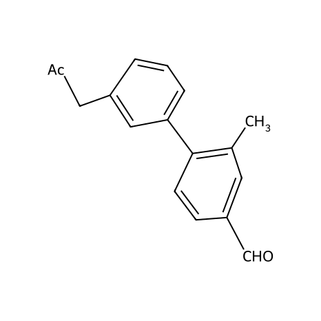 CC(=O)Cc1cccc(-c2ccc(C=O)cc2C)c1